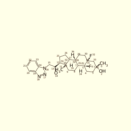 C[C@@]1(O)CC[C@]2(F)[C@H]3CC[C@]4(C)[C@@H](C(=O)Cn5nnc6ccccc65)CC[C@H]4[C@@H]3CC[C@]2(F)C1